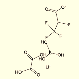 O=C(O)C(=O)O.O=C([O-])C(F)C(F)(F)F.OB(O)O.[Li+]